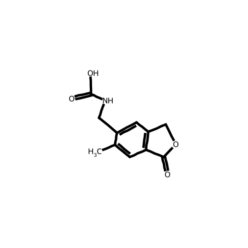 Cc1cc2c(cc1CNC(=O)O)COC2=O